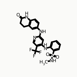 CNS(=O)(=O)c1ccccc1Nc1cc(Nc2ccc3c(c2)CCC(=O)N3)ncc1C(F)(F)F